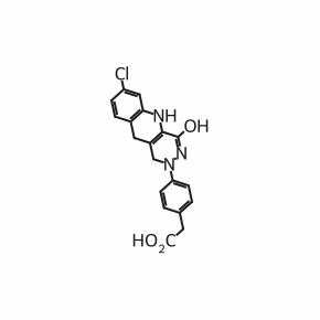 O=C(O)Cc1ccc(N2CC3=C(Nc4cc(Cl)ccc4C3)C(O)=N2)cc1